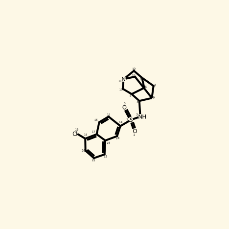 O=S(=O)(NC1C2CC3CC1CN(C3)C2)c1ccc2c(Cl)cccc2c1